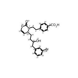 O=C(O)c1ccc(CCN2C(=O)SC=CN2CCC(O)Cc2cccc(Br)c2)cc1